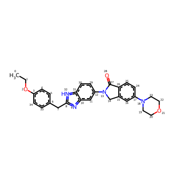 CCOc1ccc(Cc2nc3cc(N4Cc5cc(N6CCOCC6)ccc5C4=O)ccc3[nH]2)cc1